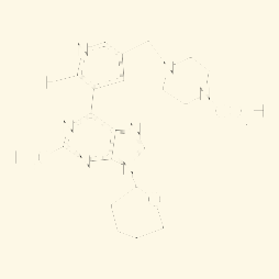 Cc1nc(-c2cc(CN3CCN(C(=O)O)CC3)cnc2F)c2ncn(C3CCCCO3)c2n1